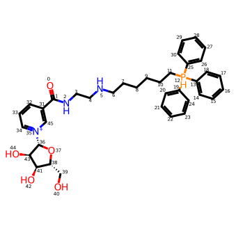 O=C(NCCNCCCCCC[PH](c1ccccc1)(c1ccccc1)c1ccccc1)c1ccc[n+]([C@@H]2O[C@H](CO)[C@@H](O)[C@H]2O)c1